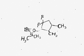 CC1CC(F)(F)[C@@H](CO[Si](C)(C)C(C)(C)C)[C@@H]1C